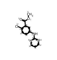 COC(=O)c1cc(Nc2ncccn2)ccc1Cl